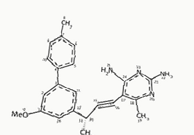 COc1cc(-c2ccc(C)cc2)cc([C@@H](C)C#Cc2c(C)nc(N)nc2N)c1